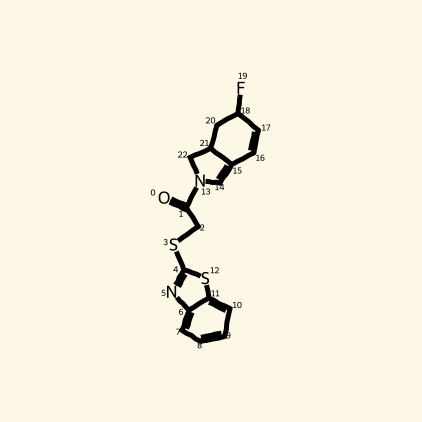 O=C(CSc1nc2ccccc2s1)N1C=C2C=CC(F)CC2C1